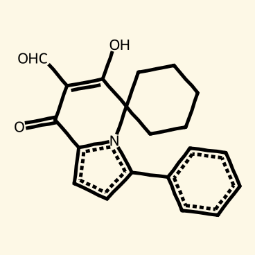 O=CC1=C(O)C2(CCCCC2)n2c(ccc2-c2ccccc2)C1=O